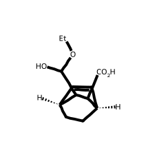 CCOC(O)C1C(C(=O)O)[C@H]2C=C[C@@H]1CC2